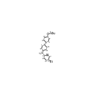 CCCCOc1ccc(-c2ccc(C(C)c3ccc(CC)cn3)cc2)cc1